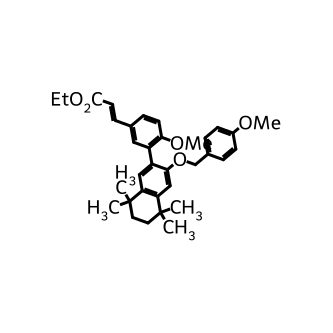 CCOC(=O)C=Cc1ccc(OC)c(-c2cc3c(cc2OCc2ccc(OC)cc2)C(C)(C)CCC3(C)C)c1